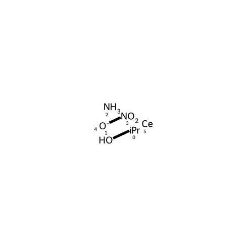 CC(C)O.N.O=[N+]([O-])[O-].[Ce]